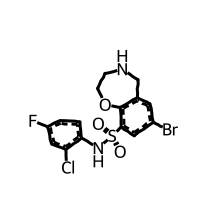 O=S(=O)(Nc1ccc(F)cc1Cl)c1cc(Br)cc2c1OCCNC2